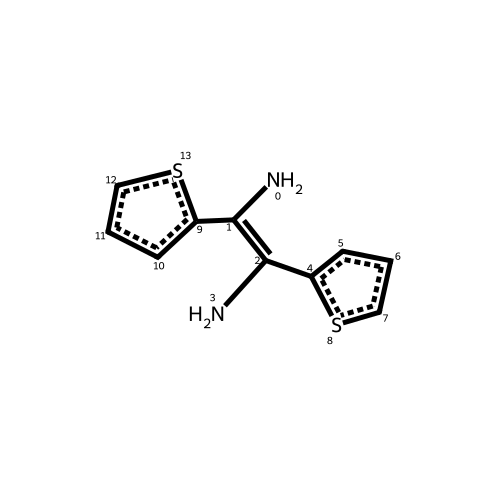 NC(=C(N)c1cccs1)c1cccs1